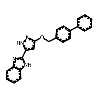 c1ccc(-c2ccc(COc3cc(-c4nc5ccccc5[nH]4)[nH]n3)cc2)cc1